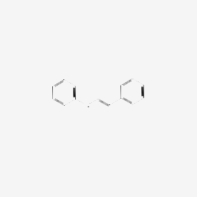 C(=C\c1ccccc1)/[SiH2]c1ccccc1